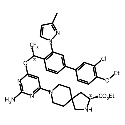 CCOC(=O)[C@@H]1CC2(CCN(c3cc(O[C@H](c4ccc(-c5ccc(OCC)c(Cl)c5)cc4-n4ccc(C)n4)C(F)(F)F)nc(N)n3)CC2)CN1